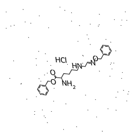 Cl.NC(CCCCNCC=NOCc1ccccc1)C(=O)OCc1ccccc1